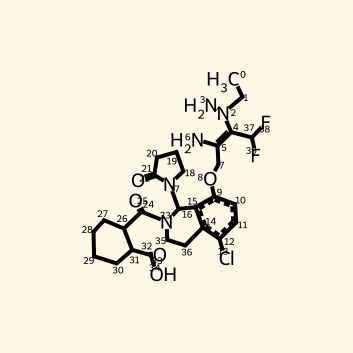 CCN(N)/C(=C(\N)COc1ccc(Cl)c2c1C(N1CCCC1=O)N(C(=O)C1CCCCC1C(=O)O)CC2)C(F)F